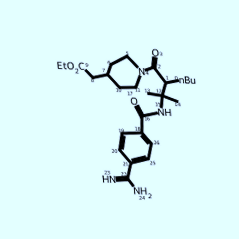 CCCCC(C(=O)N1CCC(CC(=O)OCC)CC1)C(C)(C)NC(=O)c1ccc(C(=N)N)cc1